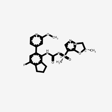 COc1cc(-c2cc(F)c3c(c2NC(=O)N=[S@](N)(=O)c2cnn4c2O[C@@H](C)C4)CCC3)ccn1